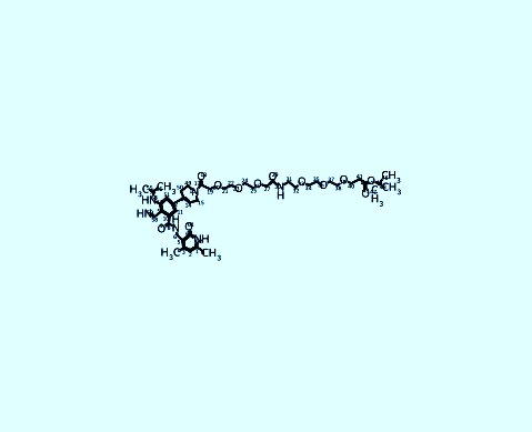 Cc1cc(C)c(CNC(=O)c2cc(C3=CCN(C(=O)COCCOCCOCC(=O)NCCOCCOCCOCCC(=O)OC(C)(C)C)CC3)cc(NC(C)C)c2C=N)c(=O)[nH]1